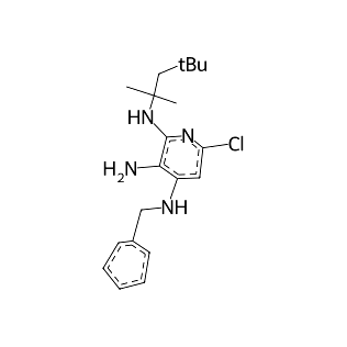 CC(C)(C)CC(C)(C)Nc1nc(Cl)cc(NCc2ccccc2)c1N